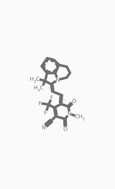 CN1C(=O)C(C#N)=C(C(F)(F)F)/C(=C\C=C2/N3CCCc4cccc(c43)C2(C)C)C1=O